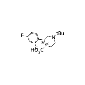 CC(C)(C)N1CC[C@H](C(=O)O)[C@@H](c2ccc(F)cc2F)C1